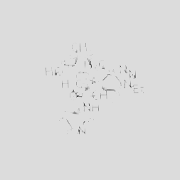 CCn1nnc2c(C)c([C@H](c3ccc(C)c(CO)c3)C(C)(C)C(=O)Nc3cccnc3)ccc21